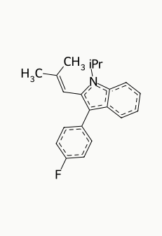 CC(C)=Cc1c(-c2ccc(F)cc2)c2ccccc2n1C(C)C